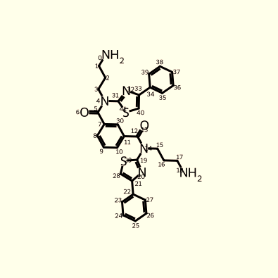 NCCCN(C(=O)c1cccc(C(=O)N(CCCN)c2nc(-c3ccccc3)cs2)c1)c1nc(-c2ccccc2)cs1